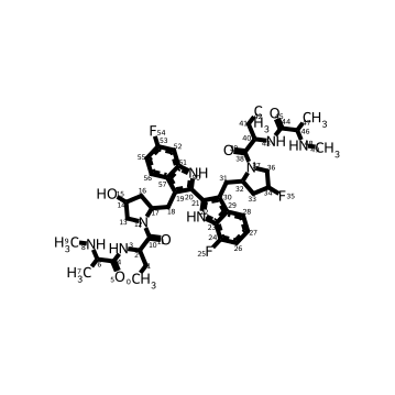 CCC(NC(=O)C(C)NC)C(=O)N1CC(O)CC1Cc1c(-c2[nH]c3c(F)cccc3c2CC2CC(F)CN2C(=O)C(CC)NC(=O)C(C)NC)[nH]c2cc(F)ccc12